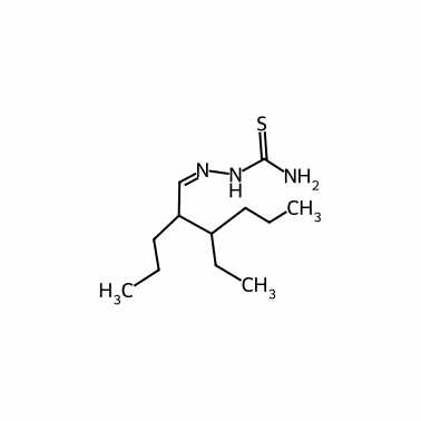 CCCC(/C=N\NC(N)=S)C(CC)CCC